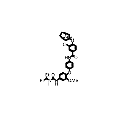 CCC(CC)NC(=O)Nc1ccc(Oc2ccc(NC(=O)c3ccc(OC4CC5CCC(C4)N5C)c(Cl)c3)cc2)c(OC)c1